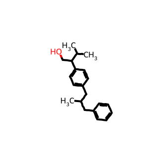 CC(Cc1ccccc1)Cc1ccc(C(CO)C(C)C)cc1